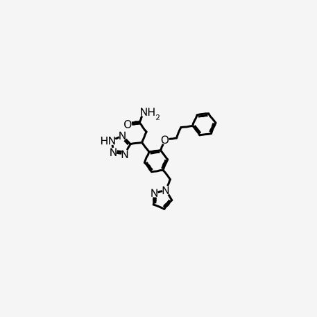 NC(=O)CC(c1nn[nH]n1)c1ccc(Cn2cccn2)cc1OCCc1ccccc1